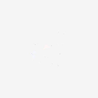 [SiH3]c1ncccc1OC(c1ccccc1)c1ccccc1